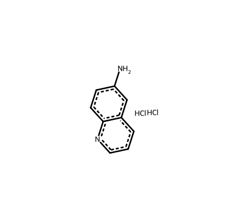 Cl.Cl.Nc1ccc2ncccc2c1